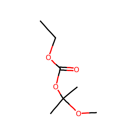 CCOC(=O)OC(C)(C)OC